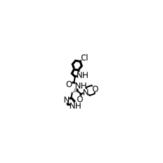 O=C(N[C@@H](Cc1c[nH]cn1)C(=O)N1CCOCC1)c1cc2ccc(Cl)cc2[nH]1